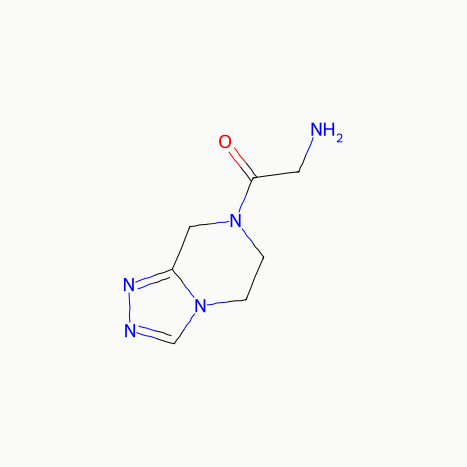 NCC(=O)N1CCn2cnnc2C1